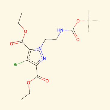 CCOC(=O)c1nn(CCNC(=O)OC(C)(C)C)c(C(=O)OCC)c1Br